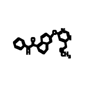 COCc1cc(Oc2ccc3c(C(=O)Nc4ccccc4)cccc3c2)ncn1